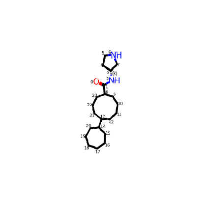 O=C(N[C@@H]1CCNC1)C1CCCCC(C2CCCCCC2)CCC1